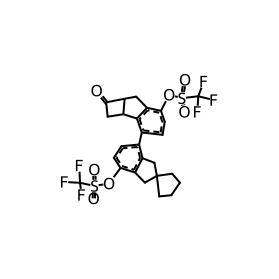 O=C1CC2c3c(-c4ccc(OS(=O)(=O)C(F)(F)F)c5c4CC4(CCCC4)C5)ccc(OS(=O)(=O)C(F)(F)F)c3CC12